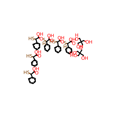 O=C(O)C(S)c1ccccc1.O=C(O)C(S)c1ccccc1.O=C(O)C(S)c1ccccc1.O=C(O)C(S)c1ccccc1.O=C(O)C(S)c1ccccc1.O=C(O)C(S)c1ccccc1.OCC(CO)(CO)COCC(CO)(CO)CO